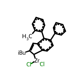 CCC(C)C1=Cc2c(ccc(-c3ccccc3)c2-c2ccccc2C)[CH]1[Zr]([Cl])[Cl]